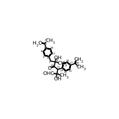 C=C(C)c1ccc(CC(C)(O)C(=O)C(c2ccc(C(=C)C)cc2)C(C)(O)C=O)cc1